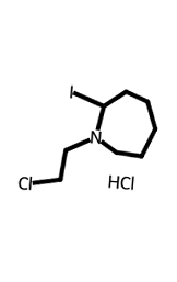 Cl.ClCCN1CCCCCC1I